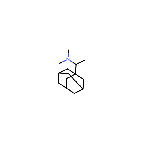 CC(N(C)C)C12CC3CC(CC(C3)C1)C2